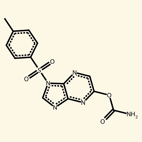 Cc1ccc(S(=O)(=O)n2cnc3nc(OC(N)=O)cnc32)cc1